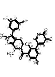 C[C@@H]1c2nn(C)c(-c3cc(F)cc(F)c3)c2CCN1C(=O)c1cc(F)cc(C2=CC(Cl)C(=O)N=C2)c1Cl